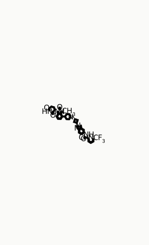 Cn1c(=O)n(C2CCC(=O)NC2=O)c2cccc(C3CCN(C[C@H]4C[C@H](n5cc6cc(NC(=O)c7cccc(C(F)(F)F)n7)c(Cl)cc6n5)C4)CC3)c21